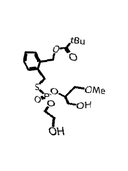 COCC(CO)OP(=O)(OCCO)SCc1ccccc1COC(=O)C(C)(C)C